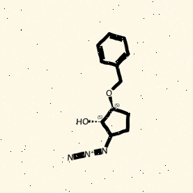 [N-]=[N+]=NC1CC[C@H](OCc2ccccc2)[C@H]1O